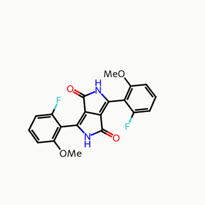 COc1cccc(F)c1C1=C2C(=O)NC(c3c(F)cccc3OC)=C2C(=O)N1